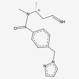 C[C@H](CC=N)N(C)C(=O)c1ccc(Cn2cccn2)cc1